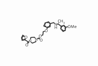 COc1cccc([C@@H](C)NCc2cccc(OCCOC(=O)N3CCN(C(=O)c4ccco4)CC3)c2)c1